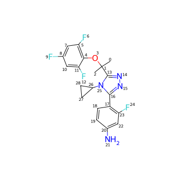 CC(C)(Oc1c(F)cc(F)cc1F)c1nnc(-c2ccc(N)cc2F)n1C1CC1